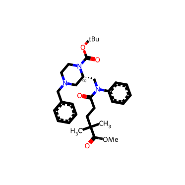 COC(=O)C(C)(C)CCC(=O)N(C[C@@H]1CN(Cc2ccccc2)CCN1C(=O)OC(C)(C)C)c1ccccc1